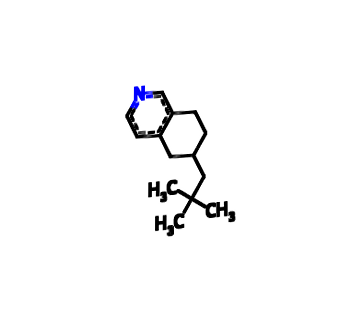 CC(C)(C)CC1CCc2cnccc2C1